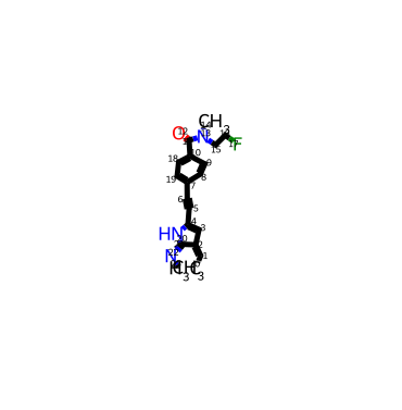 C/C=C1/C=C(C#Cc2ccc(C(=O)N(C)CCF)cc2)N/C1=N/C